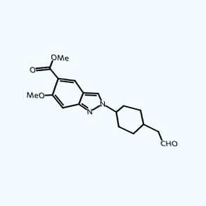 COC(=O)c1cc2cn(C3CCC(CC=O)CC3)nc2cc1OC